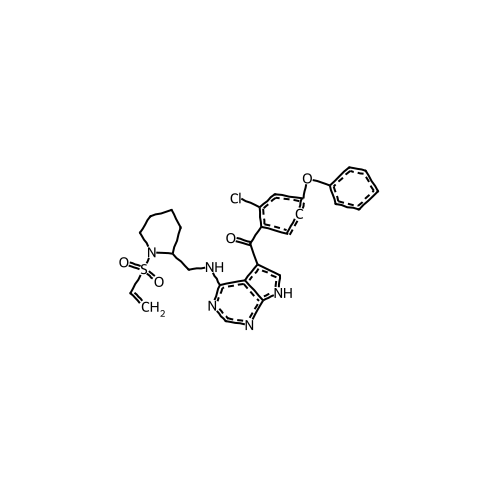 C=CS(=O)(=O)N1CCCCC1CNc1ncnc2[nH]cc(C(=O)c3ccc(Oc4ccccc4)cc3Cl)c12